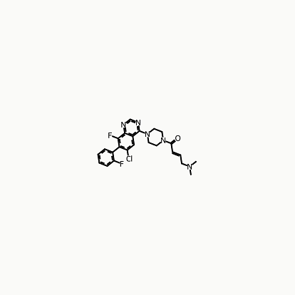 CN(C)CC=CC(=O)N1CCN(c2ncnc3c(F)c(-c4ccccc4F)c(Cl)cc23)CC1